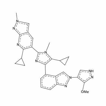 COc1n[nH]cc1-n1cc2c(-c3nc(-c4cc5cn(C)nc5nc4C4CC4)n(C)c3C3CC3)cccc2n1